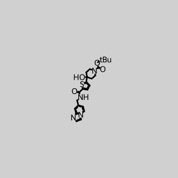 CC(C)(C)OC(=O)N1CCC(O)(c2ccc(C(=O)NCc3ccn4ccnc4c3)s2)CC1